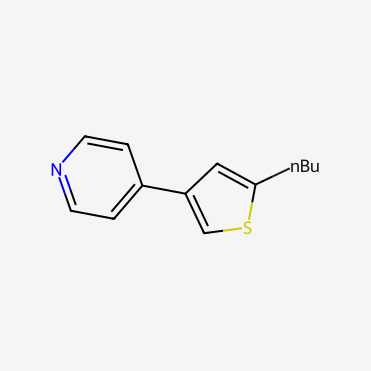 CCCCc1cc(-c2ccncc2)cs1